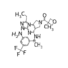 CCc1nnc2nc(N[C@H](C)c3cc(N)cc(C(F)(F)F)c3)c3c(n12)CN(C(=O)C1(C)COC1)C3